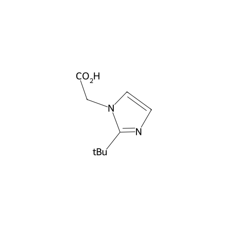 CC(C)(C)c1nccn1CC(=O)O